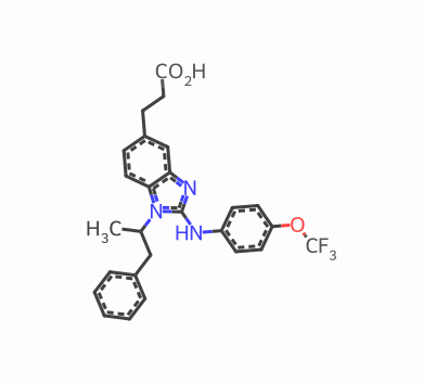 CC(Cc1ccccc1)n1c(Nc2ccc(OC(F)(F)F)cc2)nc2cc(CCC(=O)O)ccc21